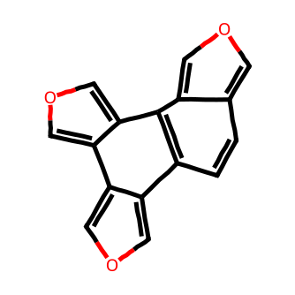 c1cc2c3cocc3c3cocc3c2c2cocc12